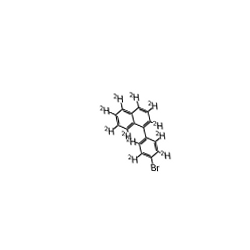 [2H]c1c([2H])c(-c2c([2H])c([2H])c([2H])c3c([2H])c([2H])c([2H])c([2H])c23)c([2H])c([2H])c1Br